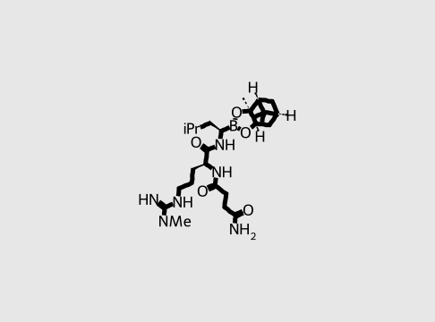 CNC(=N)NCCC[C@H](NC(=O)CCC(N)=O)C(=O)N[C@@H](CC(C)C)B1O[C@@H]2C[C@@H]3C[C@@H](C3(C)C)[C@]2(C)O1